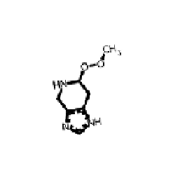 COOC1Cc2[nH]cnc2CN1